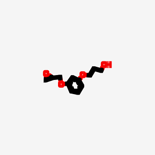 OCCCOc1cccc(OCC2CO2)c1